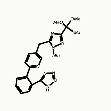 CCCCn1nc(C(CCCC)(OC)OC)nc1Cc1ccc(-c2ccccc2-c2nnn[nH]2)nc1